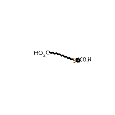 O=C(O)CCCCCCCCCCCCCCCSc1ccc(C(=O)O)cc1